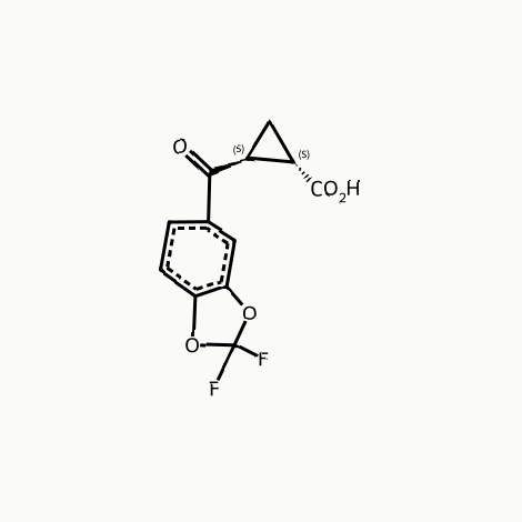 O=C(O)[C@H]1C[C@@H]1C(=O)c1ccc2c(c1)OC(F)(F)O2